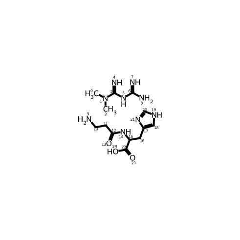 CN(C)C(=N)NC(=N)N.NCCC(=O)NC(Cc1c[nH]cn1)C(=O)O